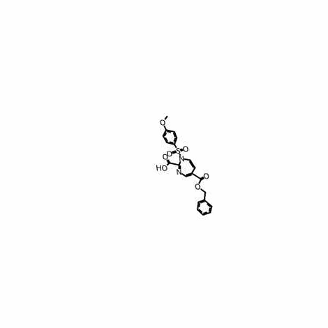 COc1ccc(S(=O)(=O)N2C=CC(C(=O)OCc3ccccc3)=CN=C2C(=O)O)cc1